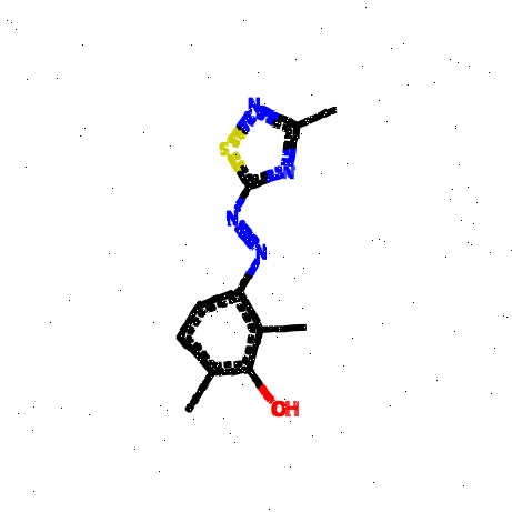 Cc1nsc(N=Nc2ccc(C)c(O)c2C)n1